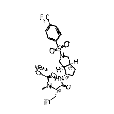 CC(C)C[C@@H](C(=O)N[C@H]1CC[C@@H]2CN(S(=O)(=O)c3ccc(C(F)(F)F)cc3)C[C@@H]21)N(C)C(=O)OC(C)(C)C